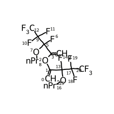 C=C(OC(=C)C(F)(OCCC)C(F)(F)C(F)(F)F)C(F)(OCCC)C(F)(F)C(F)(F)F